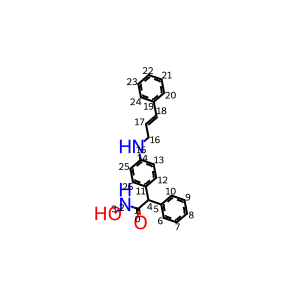 O=C(NO)C(c1ccccc1)c1ccc(NC/C=C/c2ccccc2)cc1